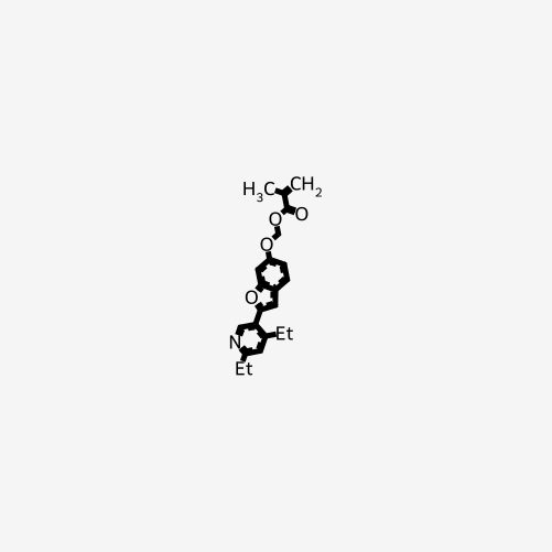 C=C(C)C(=O)OCOc1ccc2cc(-c3cnc(CC)cc3CC)oc2c1